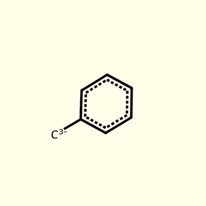 [C-3]c1ccccc1